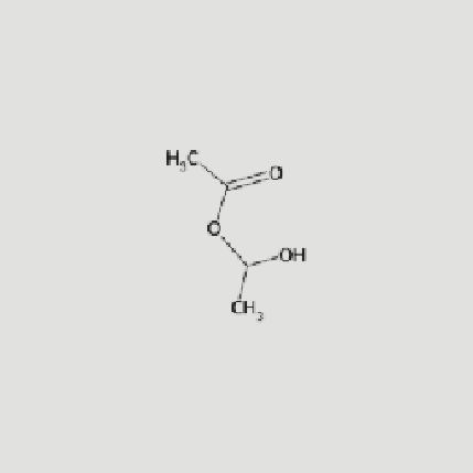 CC(=O)OC(C)O